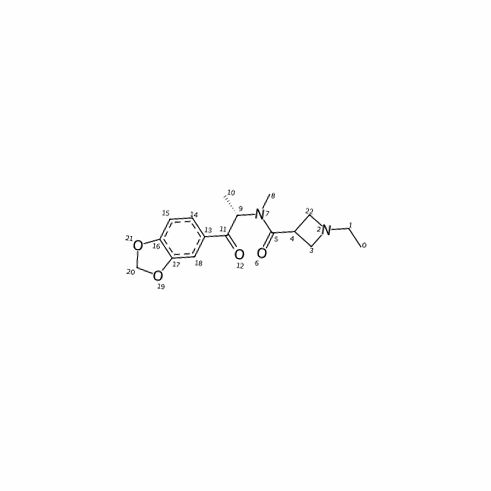 CCN1CC(C(=O)N(C)[C@@H](C)C(=O)c2ccc3c(c2)OCO3)C1